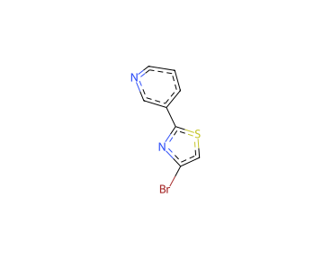 Brc1csc(-c2cccnc2)n1